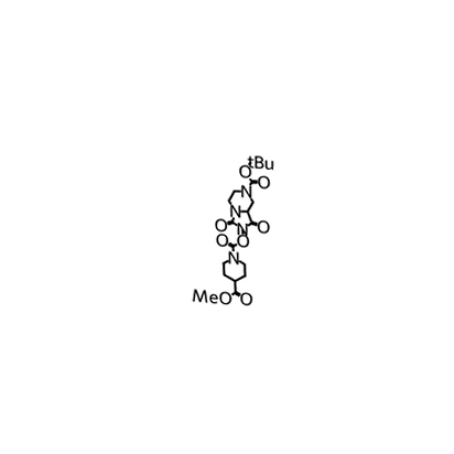 COC(=O)C1CCN(C(=O)ON2C(=O)C3CN(C(=O)OC(C)(C)C)CCN3C2=O)CC1